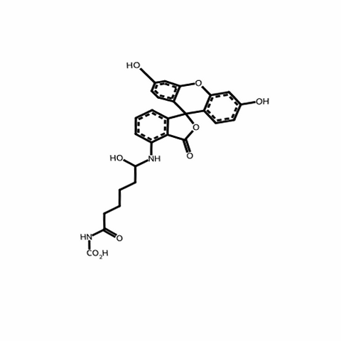 O=C(O)NC(=O)CCCCC(O)Nc1cccc2c1C(=O)OC21c2ccc(O)cc2Oc2cc(O)ccc21